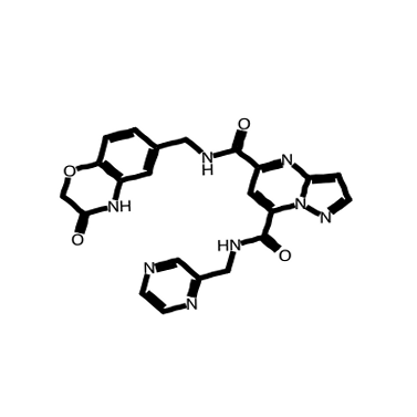 O=C1COc2ccc(CNC(=O)c3cc(C(=O)NCc4cnccn4)n4nccc4n3)cc2N1